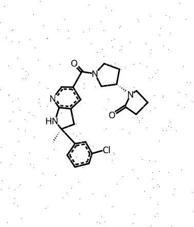 C[C@@]1(c2cccc(Cl)c2)Cc2cc(C(=O)N3CC[C@H](N4CCCC4=O)C3)cnc2N1